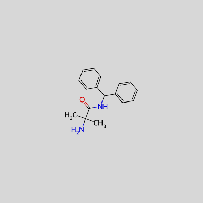 CC(C)(N)C(=O)NC(c1ccccc1)c1ccccc1